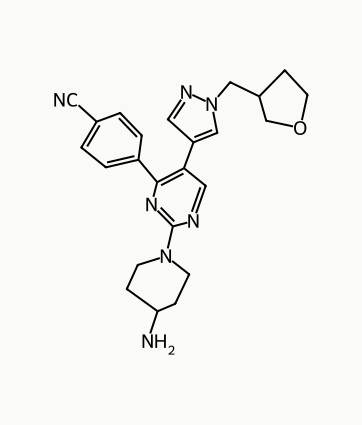 N#Cc1ccc(-c2nc(N3CCC(N)CC3)ncc2-c2cnn(CC3CCOC3)c2)cc1